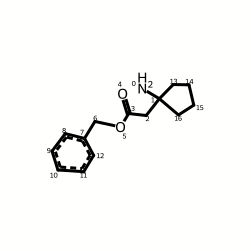 NC1(CC(=O)OCc2ccccc2)CCCC1